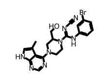 Cc1c[nH]c2ncnc(N3CCN(C(=NC#N)Nc4cccc(Br)c4)C(CO)C3)c12